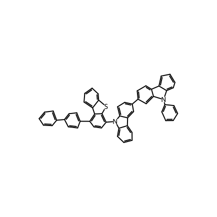 c1ccc(-c2ccc(-c3ccc(-n4c5ccccc5c5cc(-c6ccc7c8ccccc8n(-c8ccccc8)c7c6)ccc54)c4sc5ccccc5c34)cc2)cc1